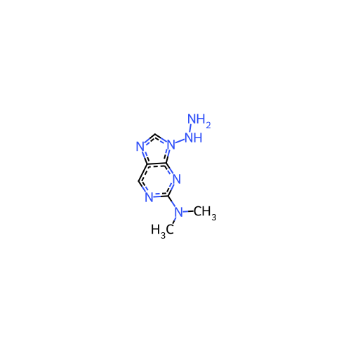 CN(C)c1ncc2ncn(NN)c2n1